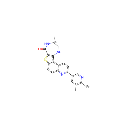 Cc1cc(-c2ccc3c(ccc4sc5c(c43)NC[C@@H](C)NC5=O)n2)cnc1C(C)C